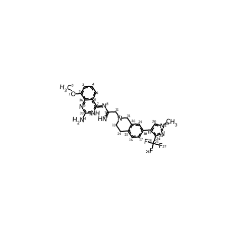 COc1cccc2/c(=N/C(=N)CN3CCc4ccc(-c5cn(C)nc5C(F)(F)F)cc4C3)[nH]c(N)nc12